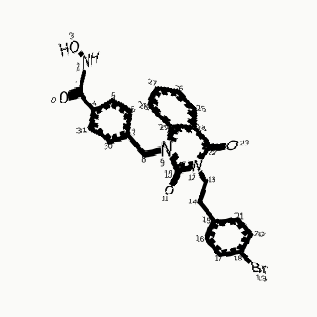 O=C(NO)c1ccc(Cn2c(=O)n(CCc3ccc(Br)cc3)c(=O)c3ccccc32)cc1